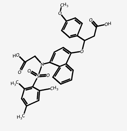 COc1ccc(C(CC(=O)O)Oc2ccc(N(CC(=O)O)S(=O)(=O)c3c(C)cc(C)cc3C)c3ccccc23)cc1